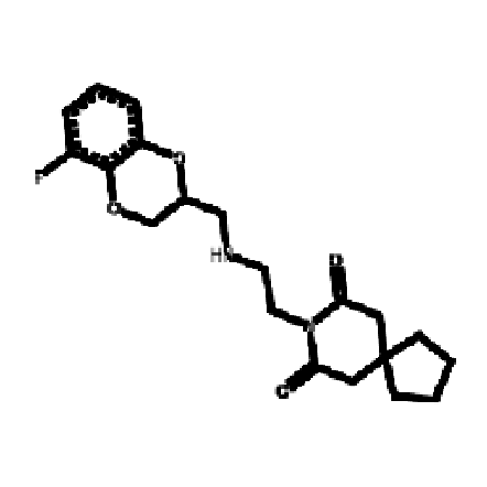 O=C1CC2(CCCC2)CC(=O)N1CCNCC1COc2c(F)cccc2O1